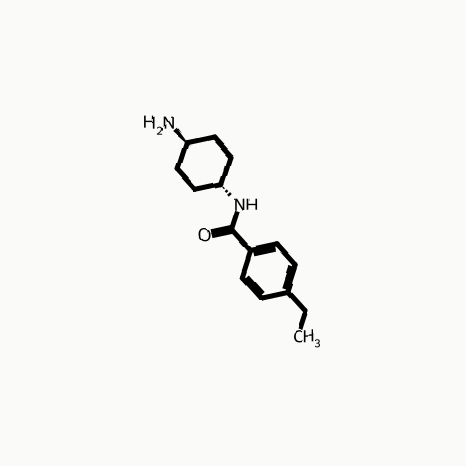 CCc1ccc(C(=O)N[C@H]2CC[C@H](N)CC2)cc1